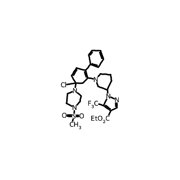 CCOC(=O)c1cnn(C2CCCN(C3=C(c4ccccc4)C=CC(Cl)(N4CCN(S(C)(=O)=O)CC4)C3)C2)c1C(F)(F)F